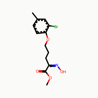 COC(=O)C(CCCOc1ccc(C)cc1Br)=NO